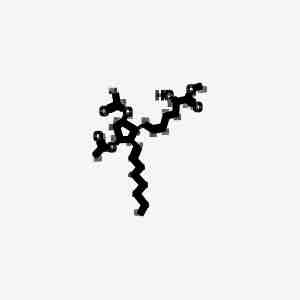 CCCCCC/C=C/[C@@H]1[C@@H](C/C=C\CCC(O)C(=O)OC)[C@H](OC(C)=O)C[C@@H]1OC(C)=O